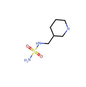 NS(=O)(=O)NCC1[CH]CC[N]C1